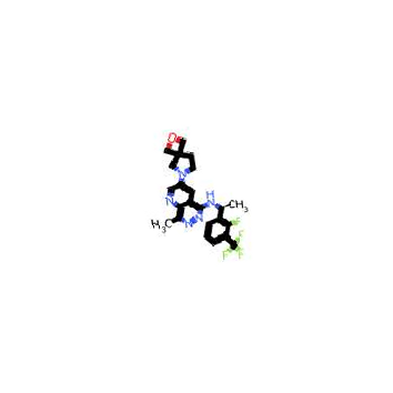 Cc1nnc(N[C@H](C)c2cccc(C(F)(F)F)c2F)c2cc(N3CCC4(COC4)C3)cnc12